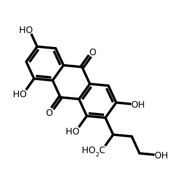 O=C1c2cc(O)cc(O)c2C(=O)c2c1cc(O)c(C(CCO)C(=O)O)c2O